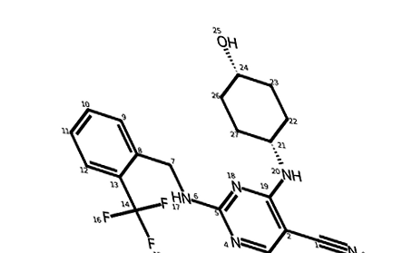 N#Cc1cnc(NCc2ccccc2C(F)(F)F)nc1N[C@H]1CC[C@@H](O)CC1